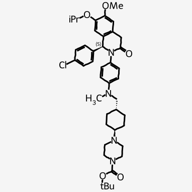 COc1cc2c(cc1OC(C)C)[C@H](c1ccc(Cl)cc1)N(c1ccc(N(C)C[C@H]3CC[C@H](N4CCN(C(=O)OC(C)(C)C)CC4)CC3)cc1)C(=O)C2